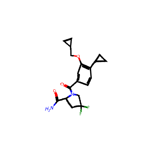 NC(=O)C1CC(F)(F)CN1C(=O)c1ccc(C2CC2)c(OCC2CC2)c1